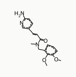 COc1cccc(CN(C)C(=O)/C=C/c2ccc(N)nc2)c1OC